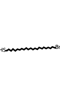 SCCCCCCCCCCCCCCCCCCCCCCCBr